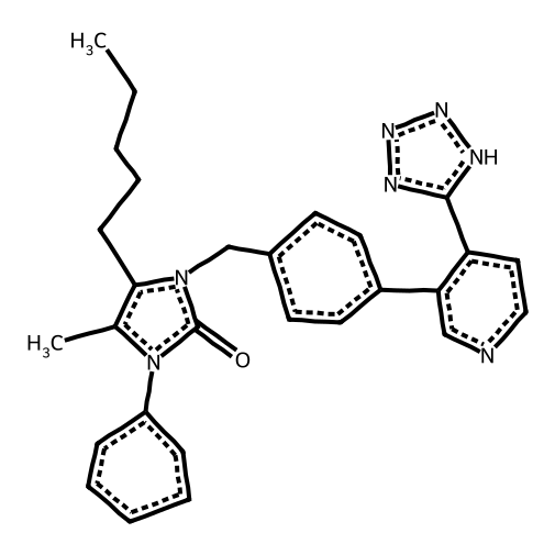 CCCCCc1c(C)n(-c2ccccc2)c(=O)n1Cc1ccc(-c2cnccc2-c2nnn[nH]2)cc1